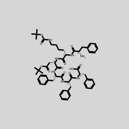 CC(C)(C)OC(=O)C[C@H](NC(=O)[C@H](CCCCNC(=O)OC(C)(C)C)NC(=O)[C@@H](N)Cc1ccccc1)C(=O)N[C@@H](Cc1ccccc1)C(=O)N[C@@H](Cc1ccccc1)C(=O)N[C@@H](Cc1ccccc1)C(=O)O